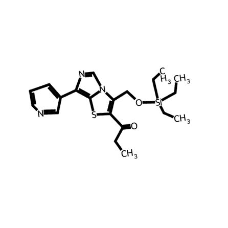 CCC(=O)c1sc2c(-c3cccnc3)ncn2c1CO[Si](CC)(CC)CC